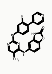 Cc1cnc(Nc2ccc(-c3ccncc3)c(F)c2)nc1Nc1ccc2oc(=O)[nH]c2c1